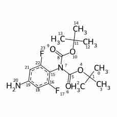 CC(C)(C)OC(=O)N(C(=O)OC(C)(C)C)c1c(F)cc(N)cc1F